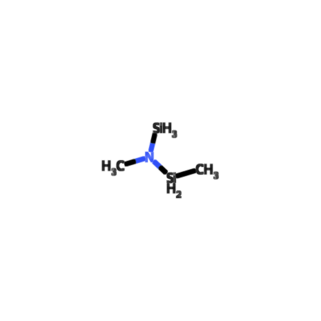 C[SiH2]N(C)[SiH3]